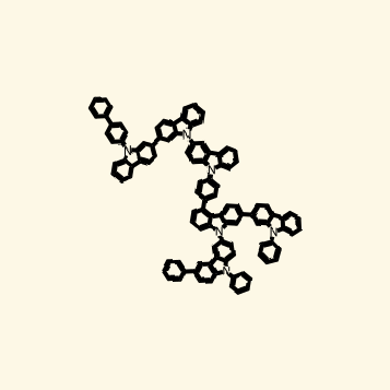 c1ccc(-c2ccc(-n3c4ccccc4c4ccc(-c5ccc6c7ccccc7n(-c7ccc8c(c7)c7ccccc7n8-c7ccc(-c8cccc9c8c8ccc(-c%10ccc%11c%12ccccc%12n(-c%12ccccc%12)c%11c%10)cc8n9-c8ccc9c(c8)c8cc(-c%10ccccc%10)ccc8n9-c8ccccc8)cc7)c6c5)cc43)cc2)cc1